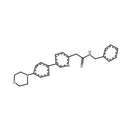 O=C(Cc1ccc(-c2ccc(N3CCOCC3)cc2)cn1)NCc1ccccc1